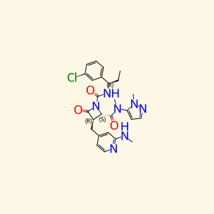 CC[C@@H](NC(=O)N1C(=O)[C@H](Cc2ccnc(NC)c2)[C@H]1C(=O)N(C)c1ccnn1C)c1cccc(Cl)c1